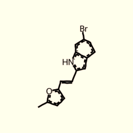 Cc1ccc(/C=C/c2cc3ccc(Br)cc3[nH]2)o1